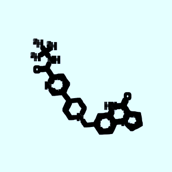 [2H]C([2H])([2H])NC(=O)c1ccc(C2=CCN(Cc3ccc4c(c3)[nH]c(=O)c3cccn34)CC2)cn1